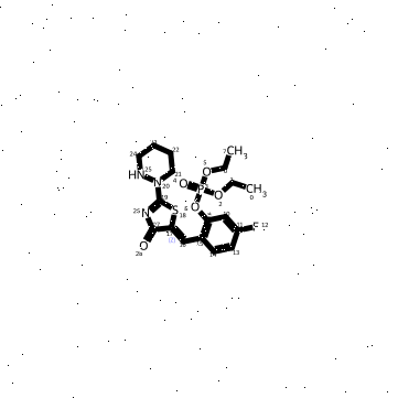 CCOP(=O)(OCC)Oc1cc(F)ccc1/C=C1\SC(N2CCCCN2)=NC1=O